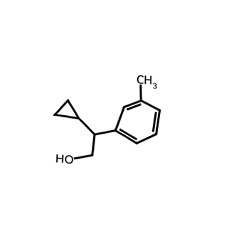 Cc1cccc(C(CO)C2CC2)c1